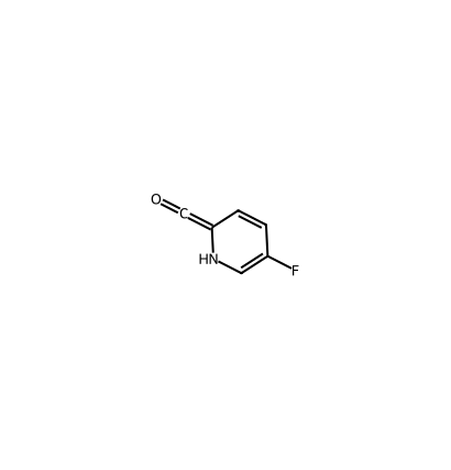 O=C=C1C=CC(F)=CN1